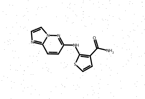 NC(=O)c1ccsc1Nc1ccc2nccn2n1